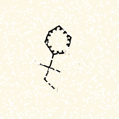 CC(C)CC(N=O)(C(=O)O)c1ccccn1.[NaH]